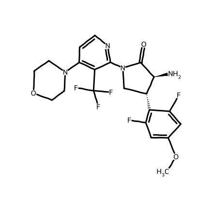 COc1cc(F)c([C@@H]2CN(c3nccc(N4CCOCC4)c3C(F)(F)F)C(=O)[C@H]2N)c(F)c1